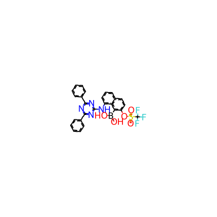 O=S(=O)(Oc1ccc2cccc(Nc3nc(-c4ccccc4)nc(-c4ccccc4)n3)c2c1B(O)O)C(F)(F)F